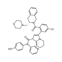 O=C(C1C=C(c2cc(Cl)ccc2C(=O)N2Cc3ccccc3C[C@H]2CN2CCOCC2)N2CCCC=C12)N(c1ccc(O)cc1)c1cccnc1